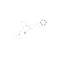 CC[C@H](NC)C(=O)N[C@@H]1C(=O)N2CC3(CCCCC13)[C@H]1CN(C3Cc4ccccc4C3)C[C@H]12